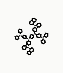 c1ccc(N(c2ccccc2)c2ccc(N(c3ccc(N(c4ccc(N(c5ccccc5)c5ccccc5)cc4)c4ccc5c(c4)c4ccccc4n5-c4cccc5ccccc45)cc3)c3ccc4c(c3)c3ccccc3n4-c3cccc4ccccc34)cc2)cc1